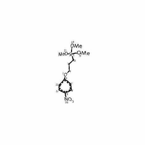 CO[Si](CCCOc1ccc([N+](=O)[O-])cc1)(OC)OC